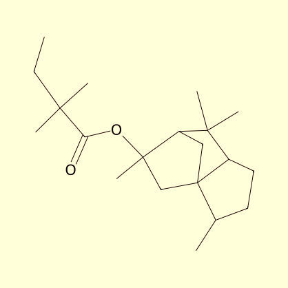 CCC(C)(C)C(=O)OC1(C)CC23CC1C(C)(C)C2CCC3C